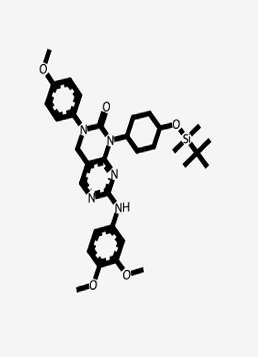 COc1ccc(N2Cc3cnc(Nc4ccc(OC)c(OC)c4)nc3N(C3CCC(O[Si](C)(C)C(C)(C)C)CC3)C2=O)cc1